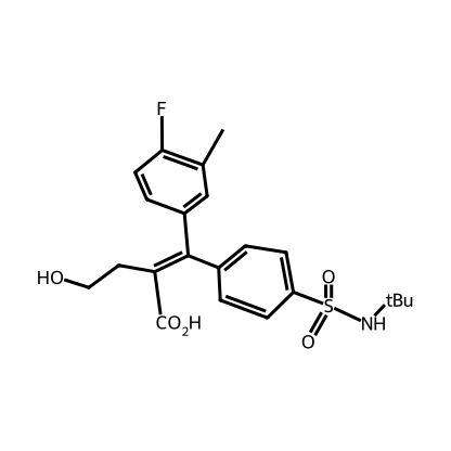 Cc1cc(C(=C(CCO)C(=O)O)c2ccc(S(=O)(=O)NC(C)(C)C)cc2)ccc1F